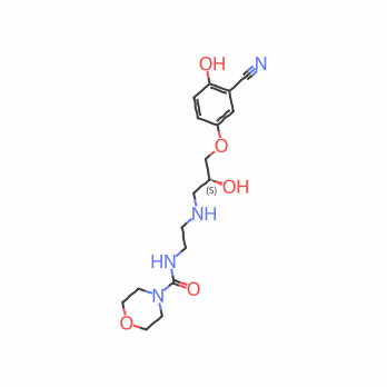 N#Cc1cc(OC[C@@H](O)CNCCNC(=O)N2CCOCC2)ccc1O